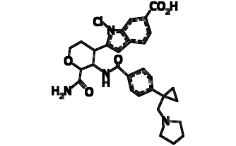 NC(=O)C1OCCC(c2cc3ccc(C(=O)O)cc3n2Cl)C1NC(=O)c1ccc(C2(CN3CCCC3)CC2)cc1